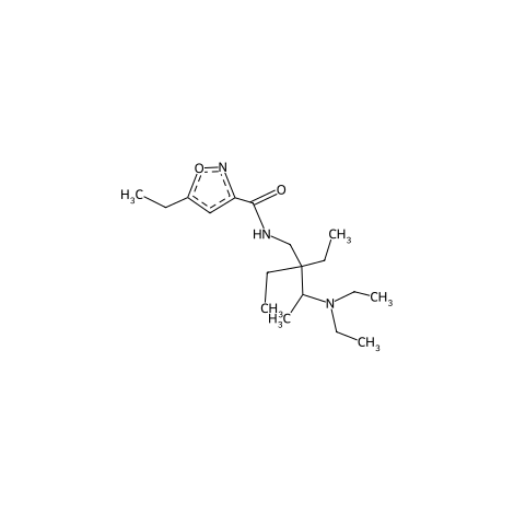 CCc1cc(C(=O)NCC(CC)(CC)C(C)N(CC)CC)no1